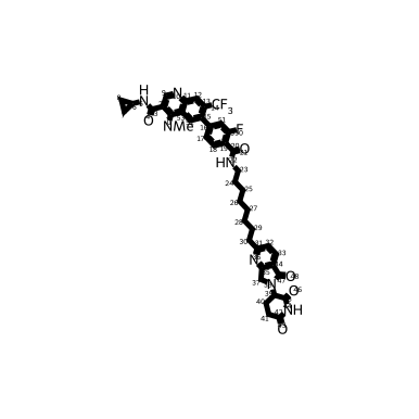 CNc1c(C(=O)NC2CC2)cnc2cc(C(F)(F)F)c(-c3ccc(C(=O)NCCCCCCCCc4ccc5c(n4)CN(C4CCC(=O)NC4=O)C5=O)c(F)c3)cc12